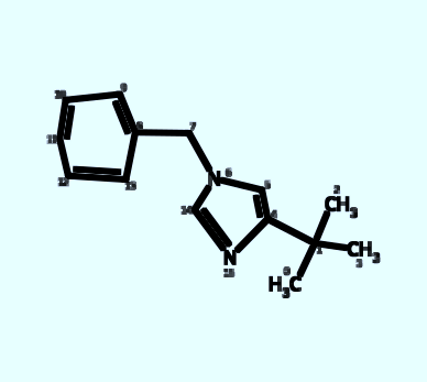 CC(C)(C)c1cn(Cc2ccccc2)cn1